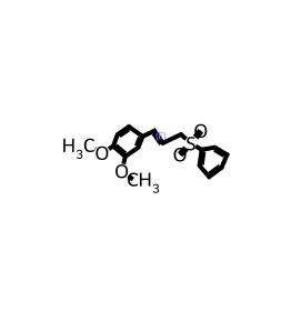 COc1ccc(/C=C/CS(=O)(=O)c2ccccc2)cc1OC